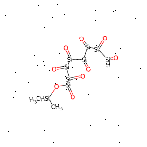 C[SiH](C)O[Si](=O)[Si](=O)[Si](=O)[Si](=O)[Si](=O)[Si](=O)[Si](=O)[SiH]=O